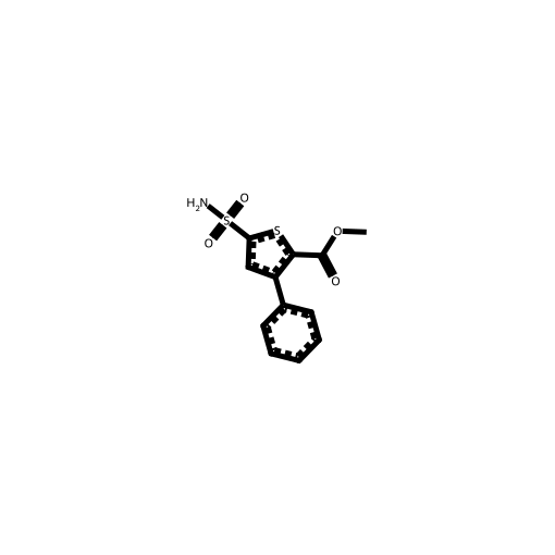 COC(=O)c1sc(S(N)(=O)=O)cc1-c1ccccc1